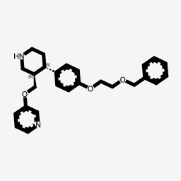 c1ccc(COCCOc2ccc([C@H]3CCNC[C@@H]3COc3cccnc3)cc2)cc1